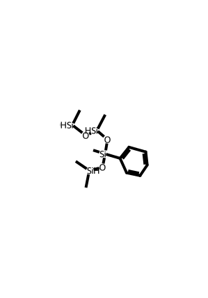 C[SiH](C)O[SiH](C)O[Si](C)(O[SiH](C)C)c1ccccc1